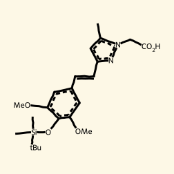 COc1cc(C=Cc2cc(C)n(CC(=O)O)n2)cc(OC)c1O[Si](C)(C)C(C)(C)C